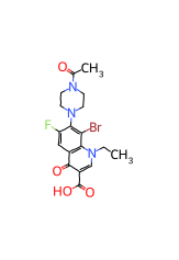 CCn1cc(C(=O)O)c(=O)c2cc(F)c(N3CCN(C(C)=O)CC3)c(Br)c21